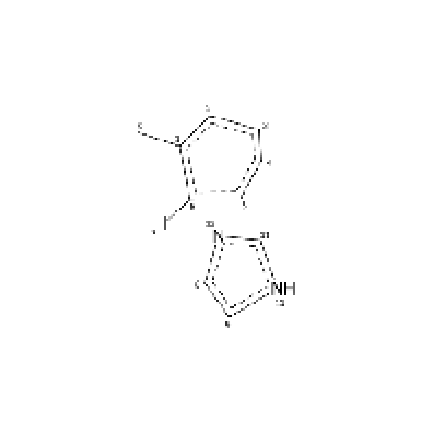 Cc1ccccc1I.c1c[nH]cn1